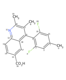 Cc1cc(F)c(-c2c(C)c(C)nc3ccc(C(=O)O)cc23)c(F)c1